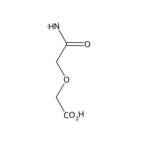 [NH]C(=O)COCC(=O)O